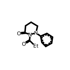 CCC(=O)N1C(=O)CCCN1c1ccccc1